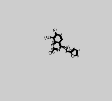 Oc1c(F)ccc2c(NCc3ccco3)nc(Cl)nc12